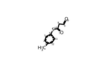 Cc1ccc(SC(=O)CC=O)cc1